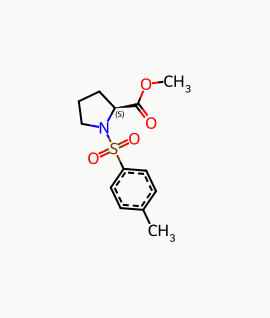 COC(=O)[C@@H]1CCCN1S(=O)(=O)c1ccc(C)cc1